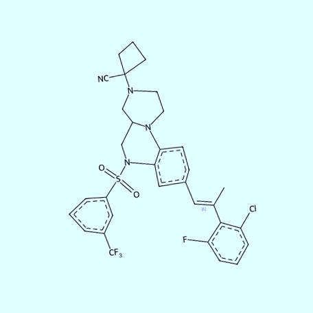 C/C(=C\c1ccc2c(c1)N(S(=O)(=O)c1cccc(C(F)(F)F)c1)CC1CN(C3(C#N)CCC3)CCN21)c1c(F)cccc1Cl